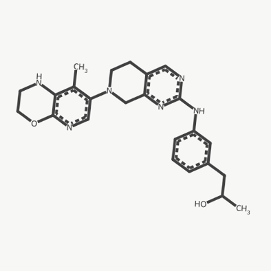 Cc1c(N2CCc3cnc(Nc4cccc(CC(C)O)c4)nc3C2)cnc2c1NCCO2